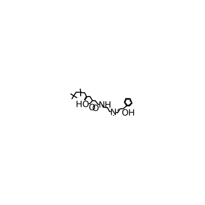 C=C(CC(CC(=O)NCCC[N+](C)(C)CCC(O)c1ccccc1)C(=O)O)CC(C)(C)CC(C)(C)C